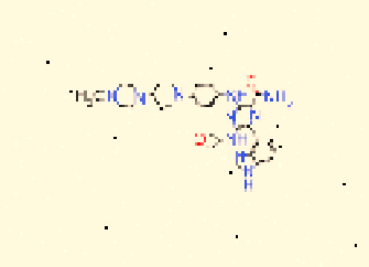 CN1CCN(C2CCN(c3ccc(Nc4nc(NC5COC5)c(-c5cccc6[nH]cnc56)nc4C(N)=O)cc3)CC2)CC1